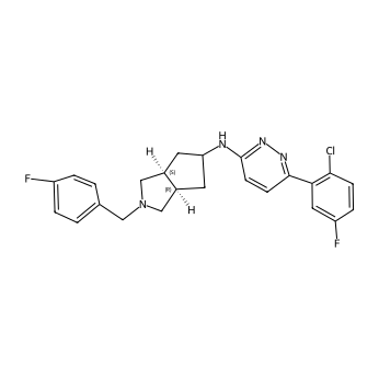 Fc1ccc(CN2C[C@H]3CC(Nc4ccc(-c5cc(F)ccc5Cl)nn4)C[C@H]3C2)cc1